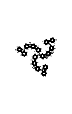 c1ccc2c(c1)c1ccccc1n2-c1ccc2oc3cc4oc5ccc(N(c6ccc7oc8cc9oc%10ccc(-n%11c%12ccccc%12c%12ccccc%12%11)cc%10c9cc8c7c6)c6ccc7oc8cc9oc%10ccc(-n%11c%12ccccc%12c%12ccccc%12%11)cc%10c9cc8c7c6)cc5c4cc3c2c1